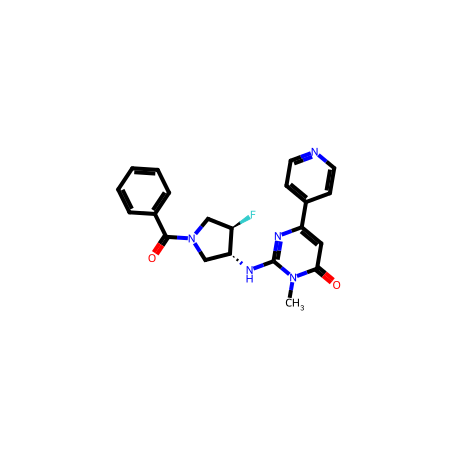 Cn1c(N[C@@H]2CN(C(=O)c3ccccc3)C[C@H]2F)nc(-c2ccncc2)cc1=O